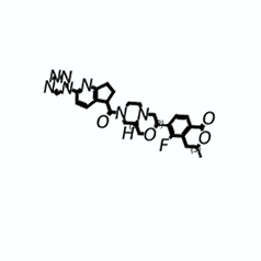 C[C@H]1Cc2c(ccc([C@@H]3CN4CCN(C(=O)C5CCc6nc(-n7cnnn7)ccc65)C[C@H]4CO3)c2F)C(=O)O1